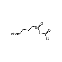 CCCCCCC[CH2][Sn](=[O])[O]C(=O)CC